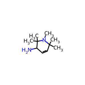 CN1C(C)(C)C=CC(N)C1(C)C